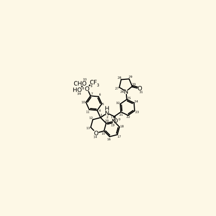 O=C(NC1(c2ccc(OC(F)(F)F)cc2)CCOc2cccnc21)c1cccc(N2CCCC2=O)c1.O=CO